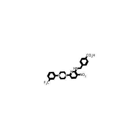 O=C(O)c1ccc(CNc2nc(N3CCN(c4cccc(C(F)(F)F)c4)CC3)ccc2[N+](=O)[O-])cc1